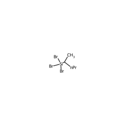 CCCC(C)[Si](Br)(Br)Br